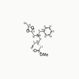 COC(=O)C[C@H](CF)CN(Cc1ccccc1)CC1OC(C)O1